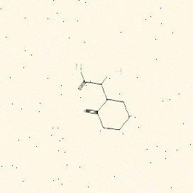 CC(C(N)=O)C1CCCCC1=O